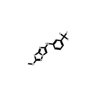 COc1nn2cc(Nc3cccc(C(F)(F)F)c3)nc2s1